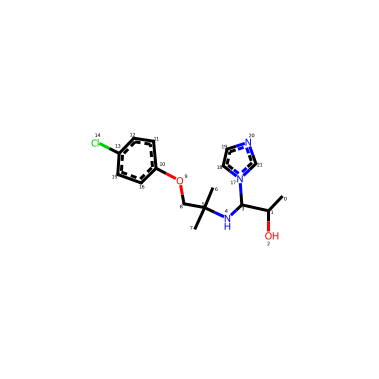 CC(O)C(NC(C)(C)COc1ccc(Cl)cc1)n1ccnc1